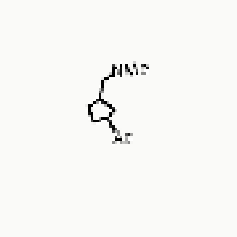 CNCC1CCC(C(C)=O)C1